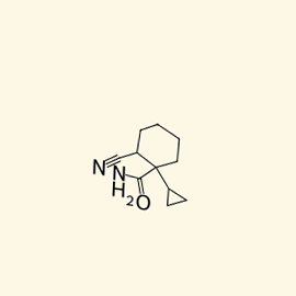 N#CC1CCCCC1(C(N)=O)C1CC1